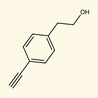 C#Cc1ccc(CCO)cc1